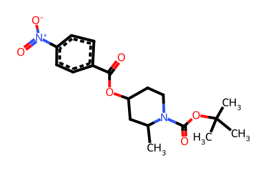 CC1CC(OC(=O)c2ccc([N+](=O)[O-])cc2)CCN1C(=O)OC(C)(C)C